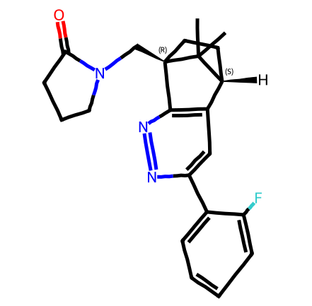 CC1(C)[C@@H]2CC[C@@]1(CN1CCCC1=O)c1nnc(-c3ccccc3F)cc12